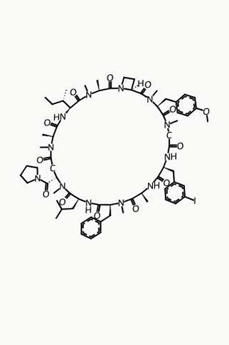 CC[C@H](C)[C@@H]1NC(=O)[C@H](C)N(C)C(=O)C[C@@H](C(=O)N2CCCC2)N(C)C(=O)[C@H](CC(C)C)NC(=O)[C@H](Cc2ccccc2)N(C)C(=O)[C@H](C)NC(=O)[C@H](Cc2cccc(I)c2)NC(=O)CN(C)C(=O)[C@H](Cc2ccc(OC)cc2)N(C)C(=O)[C@@H]2CCN2C(=O)[C@H](C)N(C)C1=O